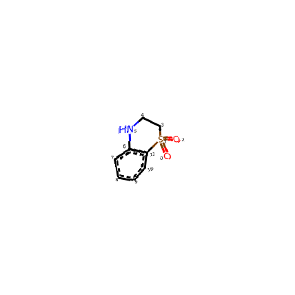 O=S1(=O)[C]CNc2ccccc21